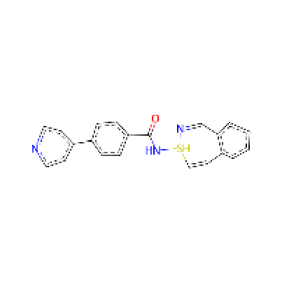 O=C(N[SH]1C=Cc2ccccc2C=N1)c1ccc(-c2ccncc2)cc1